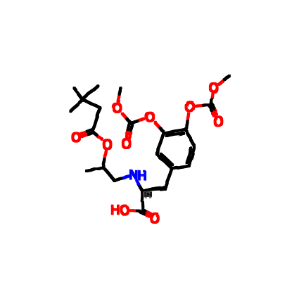 COC(=O)Oc1ccc(C[C@H](NCC(C)OC(=O)CC(C)(C)C)C(=O)O)cc1OC(=O)OC